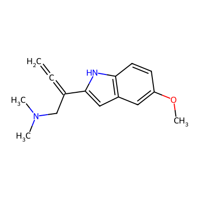 C=C=C(CN(C)C)c1cc2cc(OC)ccc2[nH]1